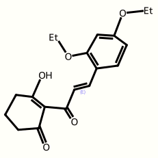 CCOc1ccc(/C=C/C(=O)C2=C(O)CCCC2=O)c(OCC)c1